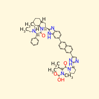 CCN(CC)[C@@H](C(=O)N1[C@H](c2nc3ccc(-c4ccc5cc(-c6cnc([C@@H]7CCCN7C(=O)[C@H](C(C)C)N(C)C(=O)O)[nH]6)ccc5c4)cc3[nH]2)C[C@@H]2CCCC[C@@H]21)c1ccccc1